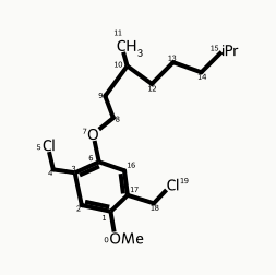 COc1cc(CCl)c(OCCC(C)CCCC(C)C)cc1CCl